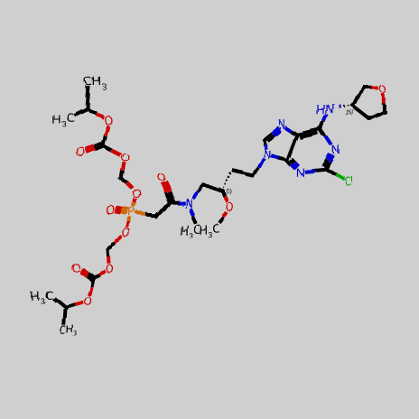 CO[C@@H](CCn1cnc2c(N[C@H]3CCOC3)nc(Cl)nc21)CN(C)C(=O)CP(=O)(OCOC(=O)OC(C)C)OCOC(=O)OC(C)C